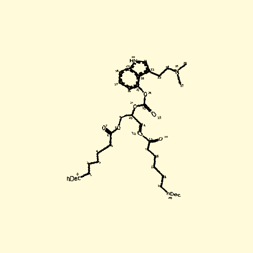 CCCCCCCCCCCCCCCC(=O)OCC(COC(=O)CCCCCCCCCCCCCCC)OC(=O)Oc1cccc2[nH]cc(CCN(C)C)c12